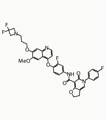 COc1cc2c(Oc3ccc(NC(=O)c4c5c(cn(-c6ccc(F)cc6)c4=O)CCO5)cc3F)ccnc2cc1OCCCN1CC(F)(F)C1